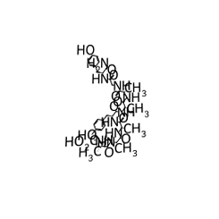 C[C@H](NC(=O)O)C(=O)N[C@@H](C)C(=O)N[C@@H](C)C(=O)N[C@@H](Cc1ccc(O)cc1)C(=O)N[C@@H](C)C(=O)N[C@@H](C)C(=O)NCC(=O)N[C@@H](Cc1ccc(O)cc1)C(N)=O